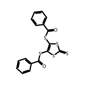 O=C(Sc1sc(=S)sc1SC(=O)c1ccccc1)c1ccccc1